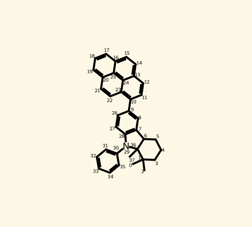 CC1(C)CCCC2c3cc(-c4ccc5ccc6cccc7ccc4c5c67)ccc3N(c3ccccc3)C21C